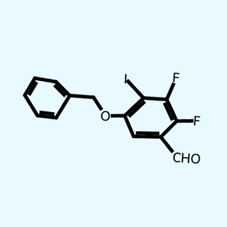 O=Cc1cc(OCc2ccccc2)c(I)c(F)c1F